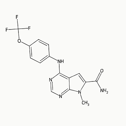 Cn1c(C(N)=O)cc2c(Nc3ccc(OC(F)(F)F)cc3)ncnc21